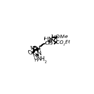 CCOC(=O)[C@H](C)NP(=O)(COCCn1cnc2c(=O)[nH]c(N)nc21)N[C@@H](C)C(=O)OC